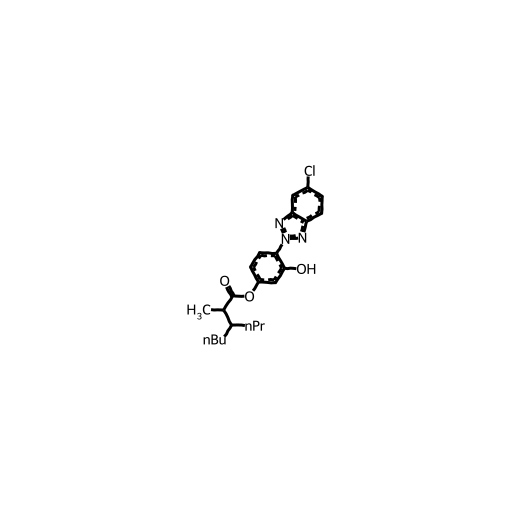 CCCCC(CCC)C(C)C(=O)Oc1ccc(-n2nc3ccc(Cl)cc3n2)c(O)c1